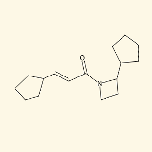 O=C(/C=C/C1CCCC1)N1CCC1C1CCCC1